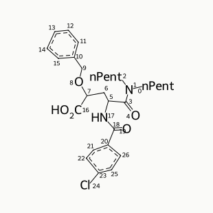 CCCCCN(CCCCC)C(=O)C(CC(OCc1ccccc1)C(=O)O)NC(=O)c1ccc(Cl)cc1